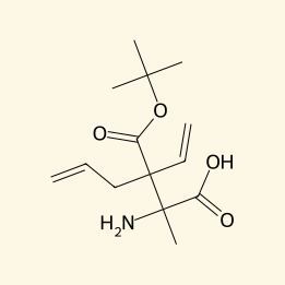 C=CCC(C=C)(C(=O)OC(C)(C)C)C(C)(N)C(=O)O